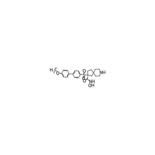 COc1ccc(-c2ccc(S(=O)(=O)C3(C(=O)NO)CCC4(CCNCC4)C3)cc2)cc1